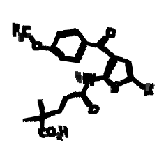 CCc1cc(C(=O)c2ccc(OC(F)(F)F)cc2)c(NC(=O)CCC(C)(C)C(=O)O)s1